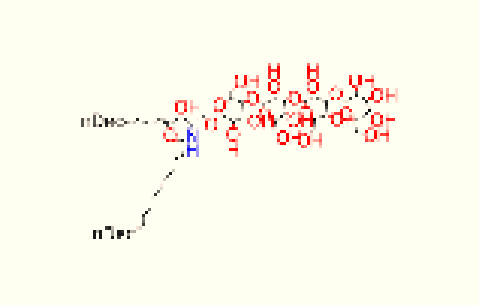 CCCCCCCCCCCCC/C=C/[C@@H](O)[C@H](CO[C@@H]1OC(CO)[C@@H](O[C@@H]2OC(CO)[C@H](O)[C@H](O[C@H]3OC(CO)[C@H](O)[C@H](O[C@H]4OC(CO)[C@H](O)[C@H](O)C4O)C3O)C2O)[C@H](O)C1O)NC(=O)CCCCCCCCCCCCCCCCCCC